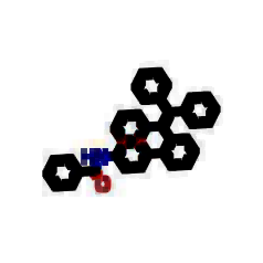 O=C(Nc1ccc(-c2ccccc2C(=C(c2ccccc2)c2ccccc2)c2ccccc2)cc1)c1ccccc1